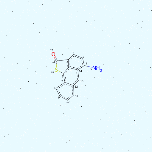 Nc1ccc2c3c(c4ccccc4cc13)SC2=O